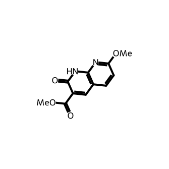 COC(=O)c1cc2ccc(OC)nc2[nH]c1=O